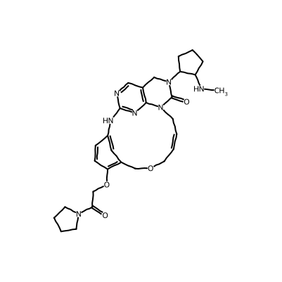 CNC1CCCC1N1Cc2cnc3nc2N(C/C=C\COCc2cc(ccc2OCC(=O)N2CCCC2)N3)C1=O